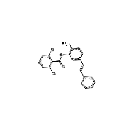 O=C(O)c1ccc(C=Cc2ccccc2)cc1NC(=O)c1c(Cl)cccc1Cl